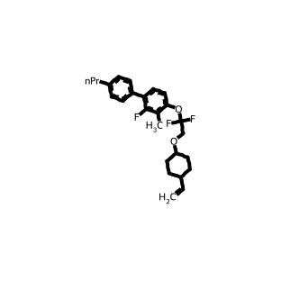 C=CC1CCC(OCC(F)(F)Oc2ccc(-c3ccc(CCC)cc3)c(F)c2C)CC1